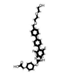 O=C(O)C[C@H]1CC[C@@H](Oc2nc3c(F)c(-c4ccc(-c5ccc(COCCOCCO)cc5)cc4)c(F)cc3[nH]2)CC1